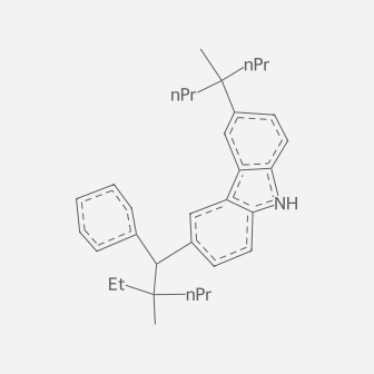 CCCC(C)(CCC)c1ccc2[nH]c3ccc(C(c4ccccc4)C(C)(CC)CCC)cc3c2c1